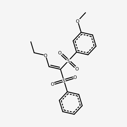 CCOC=C(S(=O)(=O)c1ccccc1)S(=O)(=O)c1cccc(OC)c1